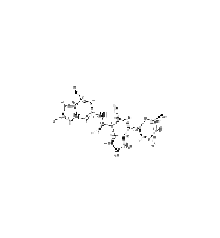 Cc1cn2cc(NC(=O)c3c(F)cc(N4C[C@@H](C)N[C@H](C)C4)c4nsnc34)cc(F)c2n1